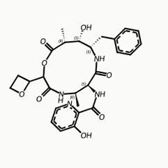 C[C@H]1NC(=O)C(C2CCO2)OC(=O)[C@H](C)[C@H](O)[C@H](Cc2ccccc2)NC(=O)[C@H]1NC(=O)c1ncccc1O